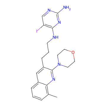 Cc1cccc2cc(CCCNc3nc(N)ncc3I)c(N3CCOCC3)nc12